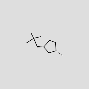 C[C@H]1CC[C@H](CC(C)(C)C)C1